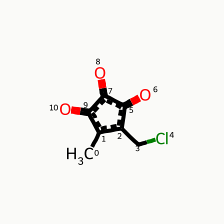 Cc1c(CCl)c(=O)c(=O)c1=O